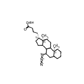 COC(=O)CCC[C@H]1CCC2C3C(N=[N+]=[N-])CC4CCCC[C@]4(C)C3CC[C@@]21C